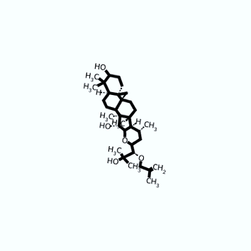 C=C(C)CO[C@@H](C1C[C@@H](C)[C@H]2C(O1)[C@H](O)[C@@]1(C)C3CC[C@H]4C(C)(C)C(O)CC[C@@]45C[C@@]35CC[C@]21C)C(C)(C)O